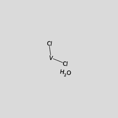 O.[Cl][V][Cl]